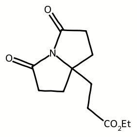 CCOC(=O)CCC12CCC(=O)N1C(=O)CC2